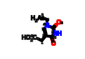 O=C(O)Cc1cn(C[AsH2])c(=O)[nH]c1=O